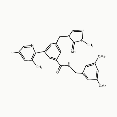 COc1cc(CNC(=O)c2cc(Cn3ccn(C)c3=N)cc(-c3ncc(F)cc3C)c2)cc(OC)c1